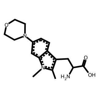 Cc1c(CC(N)C(=O)O)c2ccc(N3CCOCC3)cc2n1C